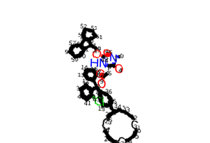 CN(C)C(=O)[C@H](CC(=O)OC(c1ccccc1)(c1ccc(C2CCCCCCCCCCCCC2)cc1)c1ccccc1Cl)NC(=O)OCC1c2ccccc2-c2ccccc21